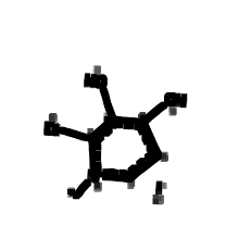 CCc1c(O)c(O)cc[n+]1C.[I-]